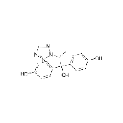 CC(n1ncnn1)C(O)(c1ccc(O)cc1)c1ccc(O)cc1